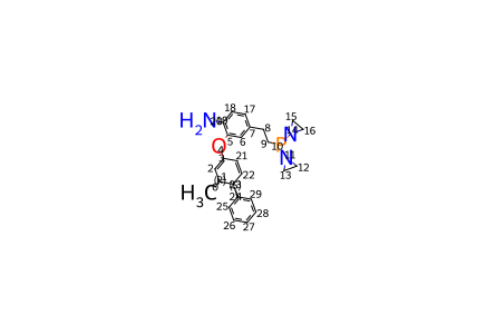 C[C@H]1C=C(Oc2cc(CCP(N3CC3)N3CC3)ccc2N)C=C[C@H]1c1ccccc1